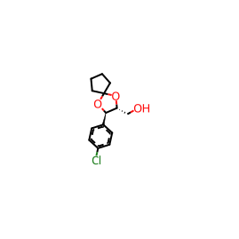 OC[C@H]1OC2(CCCC2)O[C@@H]1c1ccc(Cl)cc1